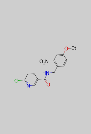 CCOc1ccc(CNC(=O)c2ccc(Cl)nc2)c([N+](=O)[O-])c1